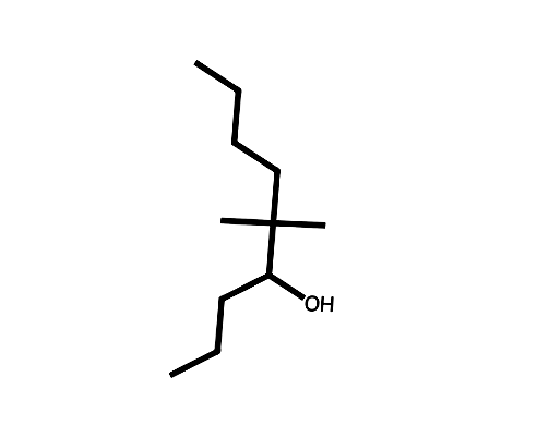 CCCCC(C)(C)C(O)CCC